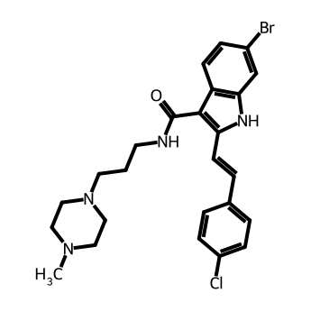 CN1CCN(CCCNC(=O)c2c(/C=C/c3ccc(Cl)cc3)[nH]c3cc(Br)ccc23)CC1